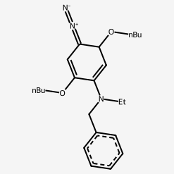 CCCCOC1=CC(=[N+]=[N-])C(OCCCC)C=C1N(CC)Cc1ccccc1